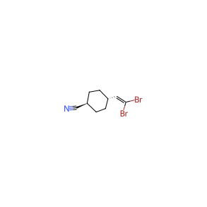 N#C[C@H]1CC[C@H](C=C(Br)Br)CC1